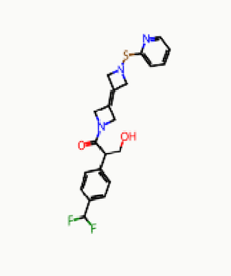 O=C(C(CO)c1ccc(C(F)F)cc1)N1CC(=C2CN(Sc3ccccn3)C2)C1